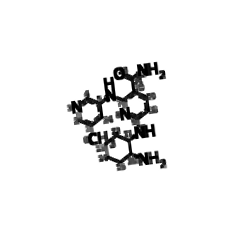 Cc1cncc(Nc2nc(N[C@@H]3CCCC[C@@H]3N)ccc2C(N)=O)c1